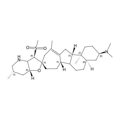 CC1=C2C[C@H]3C(CC[C@@H]4C[C@H](N(C)C)CC[C@@]43C)[C@@H]2CC[C@@]2(C1)O[C@@H]1C[C@H](C)CNC1[C@H]2S(C)(=O)=O